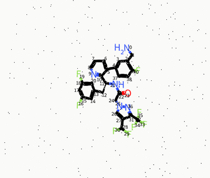 NCc1cc(-c2cccnc2[C@H](Cc2cc(F)cc(F)c2)NC(=O)Cn2cc(C(F)F)c(C(F)(F)F)n2)ccc1F